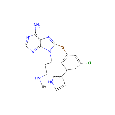 CC(C)NCCCn1c(SC2=CC(c3cc[nH]c3)CC(Cl)=C2)nc2c(N)ncnc21